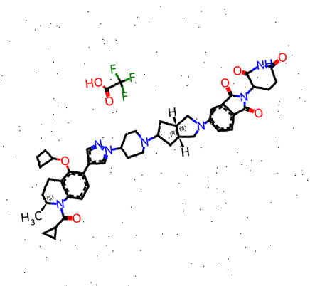 C[C@H]1CCc2c(ccc(-c3cnn(C4CCN(C5C[C@@H]6CN(c7ccc8c(c7)C(=O)N(C7CCC(=O)NC7=O)C8=O)C[C@@H]6C5)CC4)c3)c2OC2CCC2)N1C(=O)C1CC1.O=C(O)C(F)(F)F